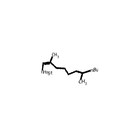 CCCCCCCC=C(C)CCCCC(C)CCCC